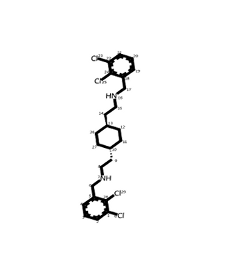 Clc1cccc(CNCC[C@H]2CC[C@H](CCNCc3cccc(Cl)c3Cl)CC2)c1Cl